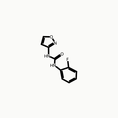 O=C(Nc1ccon1)Nc1ccccc1F